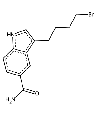 NC(=O)c1ccc2[nH]cc(CCCCBr)c2c1